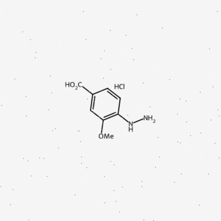 COc1cc(C(=O)O)ccc1NN.Cl